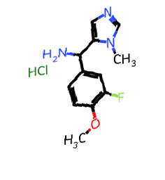 COc1ccc(C(N)c2cncn2C)cc1F.Cl